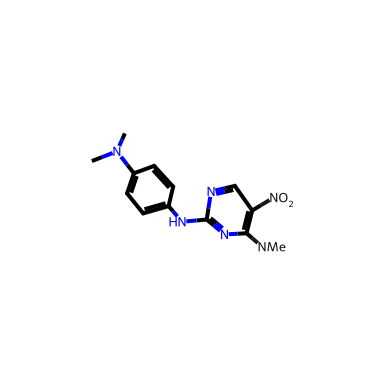 CNc1nc(Nc2ccc(N(C)C)cc2)ncc1[N+](=O)[O-]